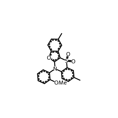 COc1ccccc1N1c2ccc(C)cc2S(=O)(=O)c2c1oc1ccc(C)cc21